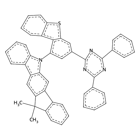 CC1(C)c2ccccc2-c2cc3c(cc21)c1ccccc1n3-c1cc(-c2nc(-c3ccccc3)nc(-c3ccccc3)n2)cc2sc3ccccc3c12